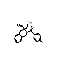 O=CC1(CO)Cc2ccccc2CN1C(=O)c1ccc(F)cc1